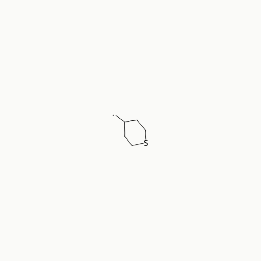 [CH2]C1CCSCC1